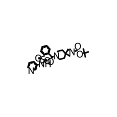 CC(C)(C)OC(=O)N1CC2(CCN(C(=O)c3ccccc3S(=O)(=O)Nc3cccnc3)CC2)C1